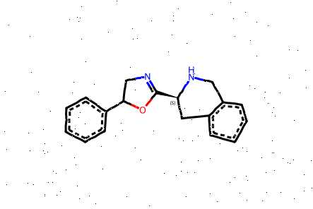 c1ccc(C2CN=C([C@@H]3Cc4ccccc4CN3)O2)cc1